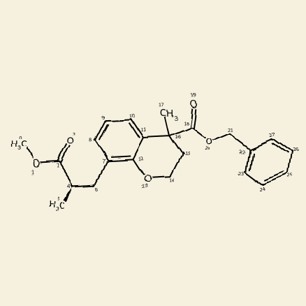 COC(=O)[C@H](C)Cc1cccc2c1OCCC2(C)C(=O)OCc1ccccc1